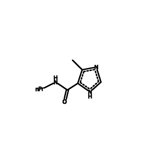 CCCNC(=O)c1[nH]cnc1C